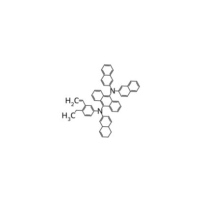 C=Cc1cc(N(C2=CC3C=CCCC3C=C2)c2c3ccccc3c(N(c3ccc4ccccc4c3)c3ccc4ccccc4c3)c3ccccc23)ccc1CC